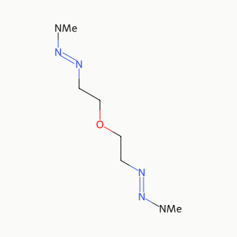 CNN=NCCOCCN=NNC